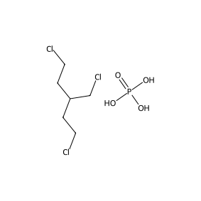 ClCCC(CCl)CCCl.O=P(O)(O)O